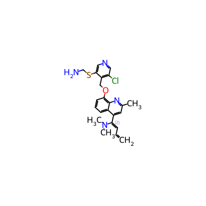 C=C/C=C(/c1cc(C)nc2c(OCc3c(Cl)cncc3SCN)cccc12)N(C)C